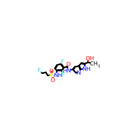 CC(O)c1cc2cc(NC(=O)c3c(F)ccc(NS(=O)(=O)CCCF)c3F)cnc2[nH]1